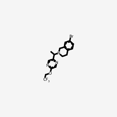 CC(c1cnc(OCC(F)(F)F)cn1)N1CCc2ccc(Br)cc2C1